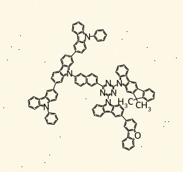 CC1(C)c2ccccc2-c2cc3c4ccccc4n(-c4nc(-c5ccc6cc(-n7c8cc(-c9ccc%10c(c9)c9ccccc9n%10-c9ccccc9)ccc8c8ccc(-c9ccc%10c(c9)c9ccccc9n%10-c9ccccc9)cc87)ccc6c5)nc(-n5c6ccccc6c6cc(-c7ccc8oc9ccccc9c8c7)ccc65)n4)c3cc21